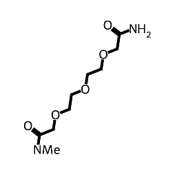 CNC(=O)COCCOCCOCC(N)=O